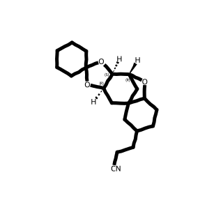 N#CCCC1CCC2O[C@@H]3CC2(C1)C[C@H]1OC2(CCCCC2)O[C@@H]31